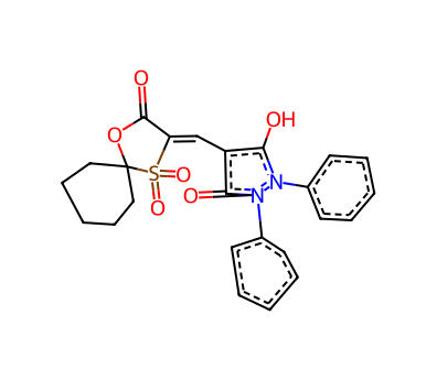 O=C1OC2(CCCCC2)S(=O)(=O)C1=Cc1c(O)n(-c2ccccc2)n(-c2ccccc2)c1=O